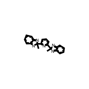 CC1(c2cccc(C3(C)N=c4ccccc4=N3)n2)N=c2ccccc2=N1